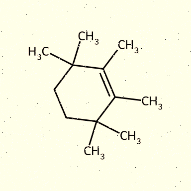 CC1=C(C)C(C)(C)CCC1(C)C